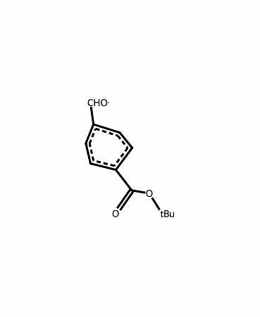 CC(C)(C)OC(=O)c1ccc([C]=O)cc1